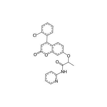 CC(Oc1ccc2c(-c3ccccc3Cl)cc(=O)oc2c1)C(=O)Nc1ccccn1